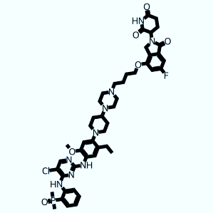 CCc1cc(Nc2ncc(Cl)c(Nc3ccccc3P(C)(C)=O)n2)c(OC)cc1N1CCC(N2CCN(CCCCOc3cc(F)cc4c3CN(C3CCC(=O)NC3=O)C4=O)CC2)CC1